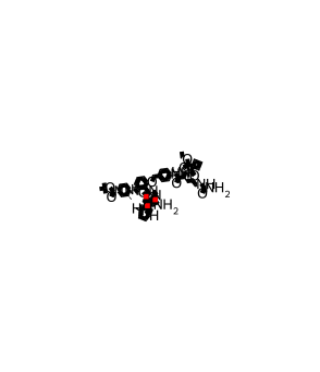 CCOC(=O)C1(C(=O)N[C@@H](CCCNC(N)=O)C(=O)Nc2ccc(COc3ccccc3-c3cc(N4C[C@H]5CC[C@H](C4)N5c4ccnc(OCCN5CCN(C(=O)OC(C)(C)C)C[C@H]5C)c4)c(N)nn3)cc2)CCC1